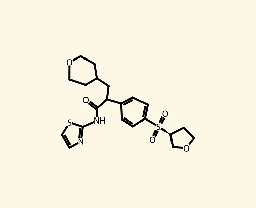 O=C(Nc1nccs1)C(CC1CCOCC1)c1ccc(S(=O)(=O)[C@H]2CCOC2)cc1